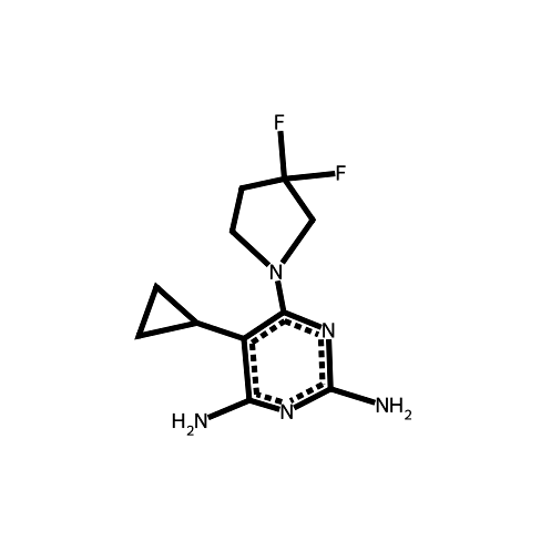 Nc1nc(N)c(C2CC2)c(N2CCC(F)(F)C2)n1